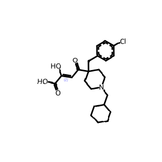 O=C(O)/C(O)=C/C(=O)C1(Cc2ccc(Cl)cc2)CCN(CC2CCCCC2)CC1